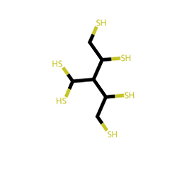 SCC(S)C(C(S)S)C(S)CS